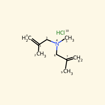 C=C(C)CN(C)CC(=C)C.Cl